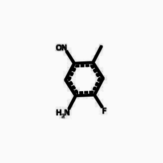 Cc1cc(F)c(N)cc1N=O